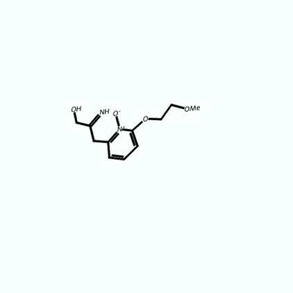 COCCOc1cccc(CC(=N)CO)[n+]1[O-]